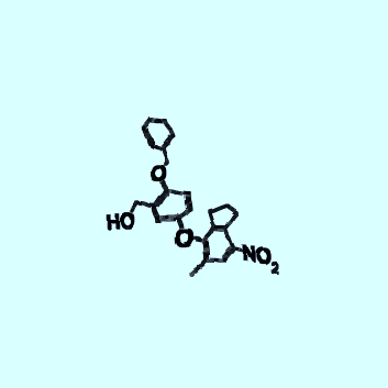 Cc1cc([N+](=O)[O-])c2c(c1Oc1ccc(OCc3ccccc3)c(CO)c1)CCC2